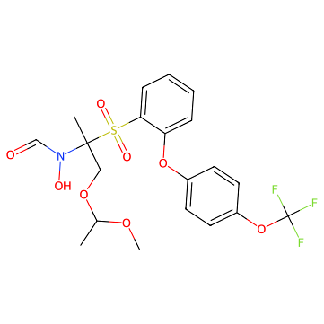 COC(C)OCC(C)(N(O)C=O)S(=O)(=O)c1ccccc1Oc1ccc(OC(F)(F)F)cc1